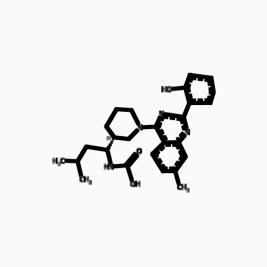 Cc1ccc2c(N3CCC[C@@H](C(CC(C)C)NC(=O)O)C3)nc(-c3ccccc3O)nc2c1